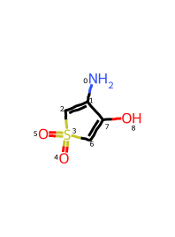 NC1=CS(=O)(=O)C=C1O